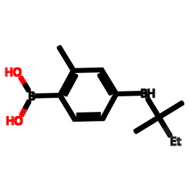 CCC(C)(C)Bc1ccc(B(O)O)c(C)c1